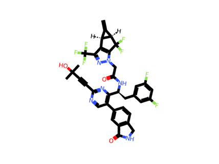 C=C1[C@@H]2c3c(C(F)(F)F)nn(CC(=O)N[C@@H](Cc4cc(F)cc(F)c4)c4nc(C#CC(C)(C)O)ncc4-c4ccc5c(c4)C(=O)NC5)c3C(F)(F)[C@H]12